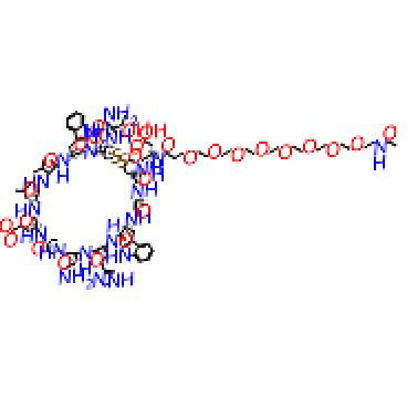 CC(=O)NCCOCCOCCOCCOCCOCCOCCOCCOCCC(=O)N[C@@H](CC(=O)O)C(=O)N[C@@H]1CSSC[C@H](C(=O)N[C@H](C(N)=O)C(C)O)NC(=O)[C@H](Cc2c[nH]c3ccccc23)NC(=O)C(C(C)C)NC(=O)[C@@H](CC(C)C)NC(=O)[C@H](CCC(=O)O)NC(=O)CNC(=O)[C@H](CCN)NC(=O)[C@H](CCc2c[nH]cn2)NC(=O)[C@H](Cc2c[nH]c3ccccc23)NC(=O)[C@@H](C)NC1=O